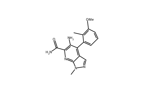 COc1cccc(-c2c(N)c(C(N)=O)nc3c2cnn3C)c1C